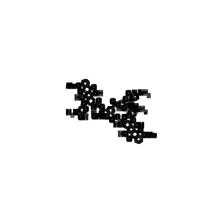 COc1cccc2c1C(=O)c1c(O)c3c(c(O)c1C2=O)C[C@@](O)(C(=O)COC(=O)c1cc(C(=O)OC[C@H]2OC(n4ccc(N)nc4=O)C(F)(F)[C@H]2O)cc(C(=O)OCC(=O)[C@]2(O)Cc4c(O)c5c(c(O)c4[C@@H](O[C@@H]4C[C@@H](N)[C@@H](O)[C@@H](C)O4)C2)C(=O)c2c(OC)cccc2C5=O)c1OC=O)C[C@@H]3O[C@@H]1C[C@@H](N)[C@@H](O)[C@@H](C)O1